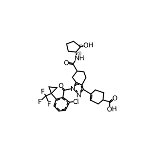 O=C(O)C1CC=C(c2nn(C(=O)c3c(Cl)cccc3C3(C(F)(F)F)CC3)c3c2CCC(C(=O)N[C@H]2CCC[C@H]2O)C3)CC1